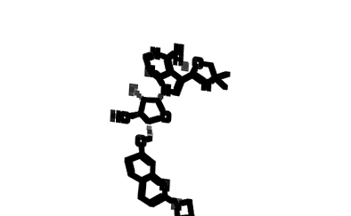 CC1(C)COC(c2cn([C@@H]3O[C@H](COc4ccc5ccc(N6CCC6)nc5c4)[C@@H](O)[C@@H]3F)c3ncnc(N)c23)=N1